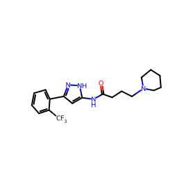 O=C(CCCN1CCCCC1)Nc1cc(-c2ccccc2C(F)(F)F)n[nH]1